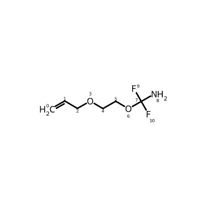 C=CCOCCOC(N)(F)F